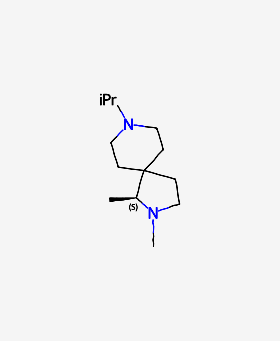 CC(C)N1CCC2(CC1)CCN(C)[C@H]2C